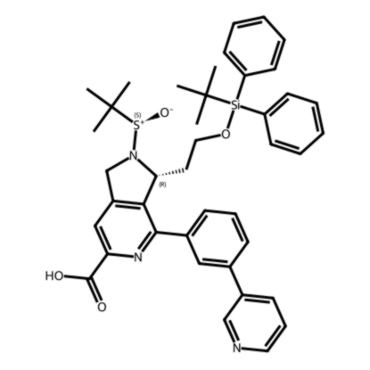 CC(C)(C)[S@@+]([O-])N1Cc2cc(C(=O)O)nc(-c3cccc(-c4cccnc4)c3)c2[C@H]1CCO[Si](c1ccccc1)(c1ccccc1)C(C)(C)C